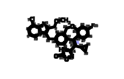 COCc1nc2c(Cl)cccn2c1Cc1ccc2c(c1)COc1cc(F)ccc1/C2=C(/c1noc(=O)[nH]1)C1CC1